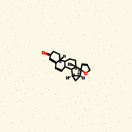 CC[C@]12CCC3C(C=CC4=CC(=O)CC[C@@H]43)C1[C@@H]1C[C@@H]1[C@@]21C=CCO1